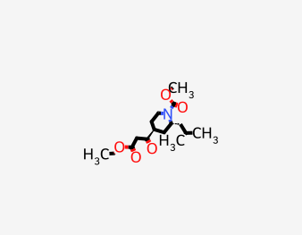 CCOC(=O)CC(=O)[C@H]1CCN(C(=O)OC)[C@H](CC(C)C)C1